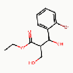 CCOC(=O)C(CO)C(O)c1ccccc1Br